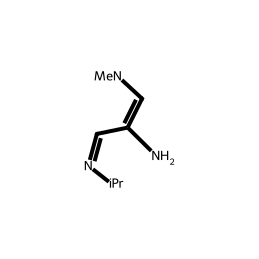 CN/C=C(N)\C=N/C(C)C